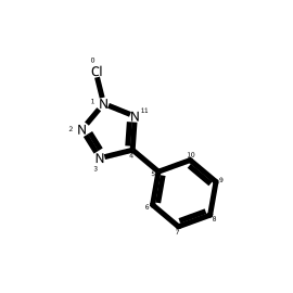 Cln1nnc(-c2ccccc2)n1